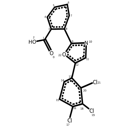 O=C(O)c1ccccc1-c1ncc(-c2ccc(Cl)c(Cl)c2Cl)o1